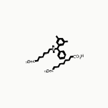 CCCCCCCCCCCCCCCCCC(=O)O.CCCCCCCCCCCCCCCC[N+](C)(C)C(c1ccccc1)c1cc(C)cc(C)c1